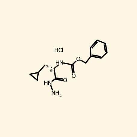 Cl.NNC(=O)[C@H](CC1CC1)NC(=O)OCc1ccccc1